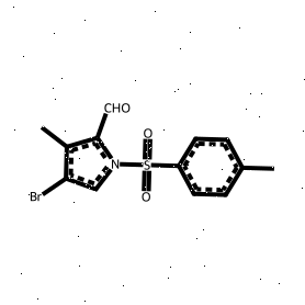 Cc1ccc(S(=O)(=O)n2cc(Br)c(C)c2C=O)cc1